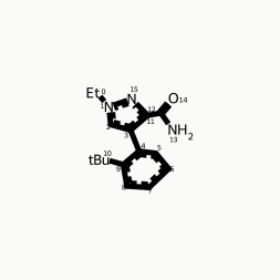 CCn1cc(-c2ccccc2C(C)(C)C)c(C(N)=O)n1